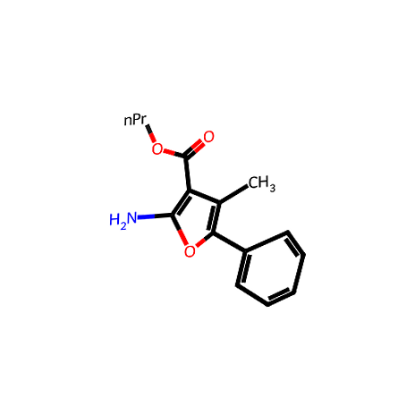 CCCOC(=O)c1c(N)oc(-c2ccccc2)c1C